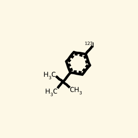 CC(C)(C)c1ccc([123I])cc1